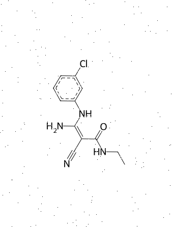 CCNC(=O)C(C#N)=C(N)Nc1cccc(Cl)c1